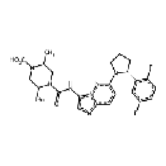 CC1CN(C(=O)Nc2cnc3ccc(N4CCC[C@@H]4c4cc(F)ccc4F)nn23)C(C(C)(C)C)CN1C(=O)O